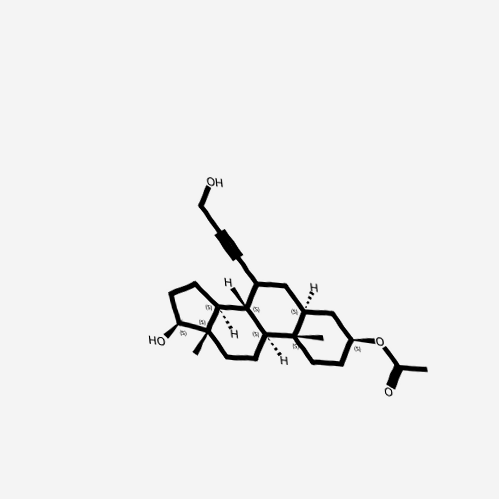 CC(=O)O[C@H]1CC[C@@]2(C)[C@@H](CC(C#CCO)[C@@H]3[C@@H]2CC[C@]2(C)[C@@H](O)CC[C@@H]32)C1